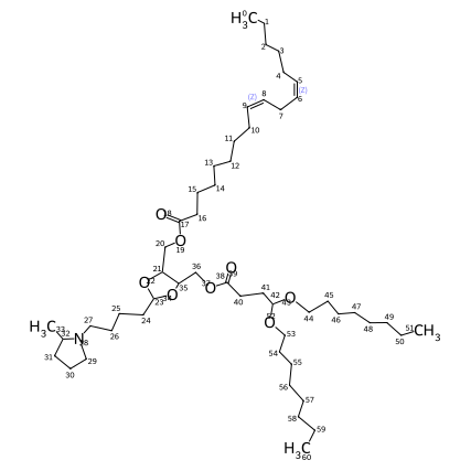 CCCCC/C=C\C/C=C\CCCCCCCC(=O)OCC1OC(CCCCN2CCCC2C)OC1COC(=O)CCC(OCCCCCCCC)OCCCCCCCC